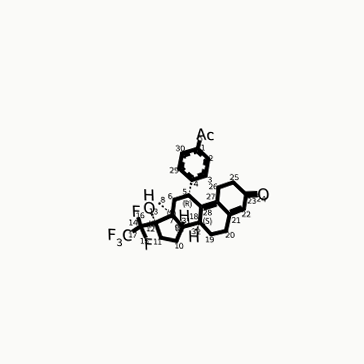 CC(=O)c1ccc([C@H]2C[C@@]3(C)[C@@H](CC[C@@]3(O)C(F)(F)C(F)(F)F)[C@@H]3CCC4=CC(=O)CCC4=C32)cc1